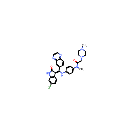 CN1CCN(CC(=O)N(C)c2ccc(NC(=C3C(=O)Nc4cc(Cl)ccc43)c3ccc4nccnc4c3)cc2)CC1